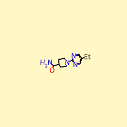 CCc1cnc(N2CCC(C(N)=O)CC2)nc1